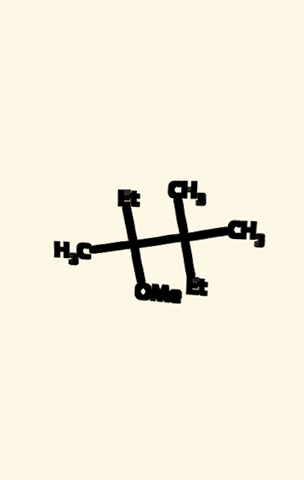 CCC(C)(C)C(C)(CC)OC